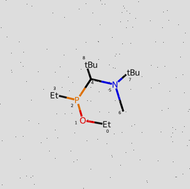 CCOP(CC)C(N(C)C(C)(C)C)C(C)(C)C